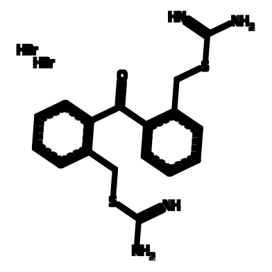 Br.Br.N=C(N)SCc1ccccc1C(=O)c1ccccc1CSC(=N)N